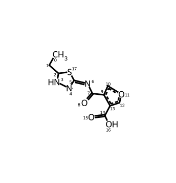 CCC1N[N]C(=NC(=O)c2cocc2C(=O)O)S1